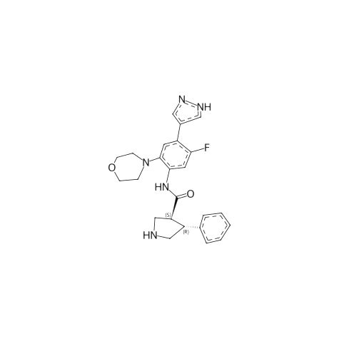 O=C(Nc1cc(F)c(-c2cn[nH]c2)cc1N1CCOCC1)[C@@H]1CNC[C@H]1c1ccccc1